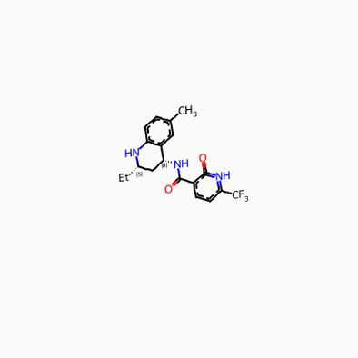 CC[C@H]1C[C@@H](NC(=O)c2ccc(C(F)(F)F)[nH]c2=O)c2cc(C)ccc2N1